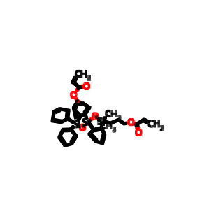 C=CC(=O)OCCC[Si](C)(C)O[Si](O[Si](CCCOC(=O)C=C)(c1ccccc1)c1ccccc1)(c1ccccc1)c1ccccc1